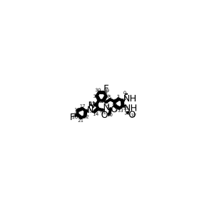 CNc1cc(CCN2C(=O)COC2c2cn(-c3ccc(F)cc3)nc2-c2ccc(F)cc2)ccc1NC=O